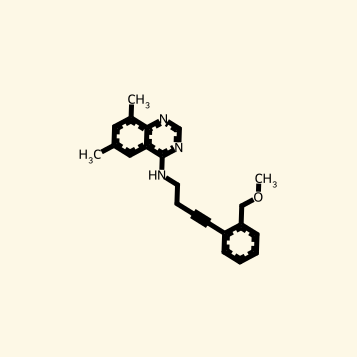 COCc1ccccc1C#CCCNc1ncnc2c(C)cc(C)cc12